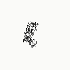 COC(=O)c1ccccc1NC(=O)c1cccc(S(=O)(=O)Nc2ccc(F)cc2C)c1